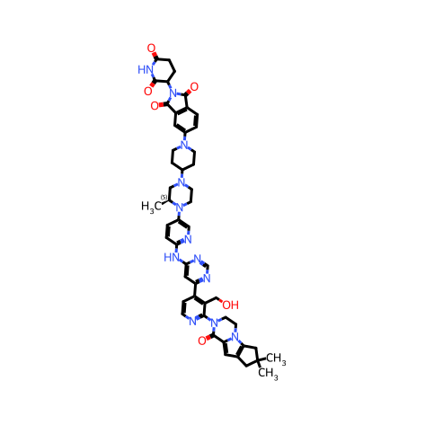 C[C@H]1CN(C2CCN(c3ccc4c(c3)C(=O)N(C3CCC(=O)NC3=O)C4=O)CC2)CCN1c1ccc(Nc2cc(-c3ccnc(N4CCn5c(cc6c5CC(C)(C)C6)C4=O)c3CO)ncn2)nc1